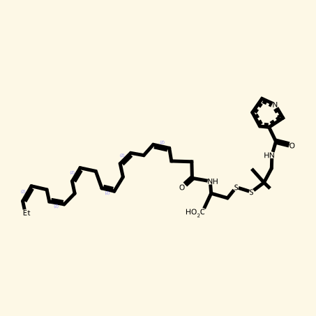 CC/C=C\C/C=C\C/C=C\C/C=C\C/C=C\C/C=C\CCC(=O)NC(CSSC(C)(C)CNC(=O)c1cccnc1)C(=O)O